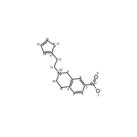 O=[N+]([O-])c1ccc2c(c1)CN(CCc1cccs1)CC2